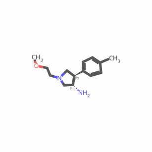 COCCN1C[C@@H](N)[C@H](c2ccc(C)cc2)C1